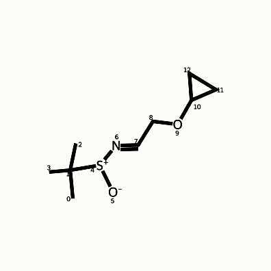 CC(C)(C)[S+]([O-])N=CCOC1CC1